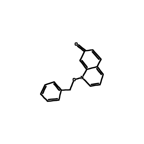 O=c1ccc2cccn(OCc3ccccc3)c-2c1